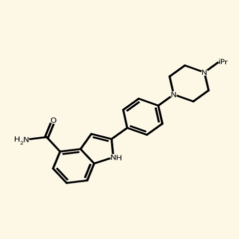 CC(C)N1CCN(c2ccc(-c3cc4c(C(N)=O)cccc4[nH]3)cc2)CC1